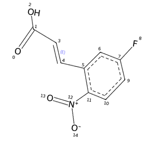 O=C(O)/C=C/c1cc(F)ccc1[N+](=O)[O-]